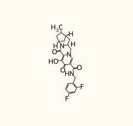 CC1C[C@@H]2C[C@H]1C[C@H]1Cn3cc(C(=O)NCc4ccc(F)cc4F)c(=O)c(O)c3C(=O)N21